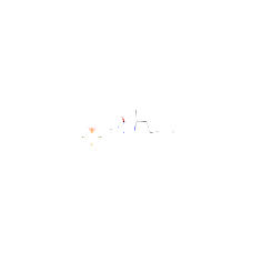 CC(C)(C)CCC(C)(C)C(=O)NCCS(C)(=O)=O